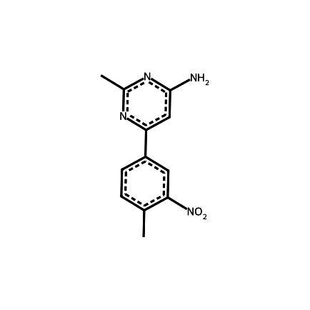 Cc1nc(N)cc(-c2ccc(C)c([N+](=O)[O-])c2)n1